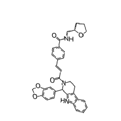 O=C(NCC1CCCO1)c1ccc(/C=C/C(=O)N2CCc3c([nH]c4ccccc34)C2c2ccc3c(c2)OCO3)cc1